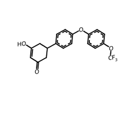 O=C1C=C(O)CC(c2ccc(Oc3ccc(OC(F)(F)F)cc3)cc2)C1